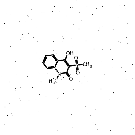 Cn1c(=O)c(S(C)(=O)=O)c(O)c2ccccc21